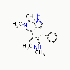 C=C1c2[nH]ccc2C(C(=C/C)/C(=C\NC)Cc2ccccc2)=CN1C